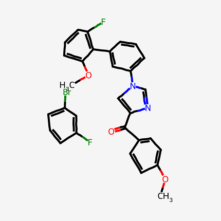 COc1ccc(C(=O)c2cn(-c3cccc(-c4c(F)cccc4OC)c3)cn2)cc1.Fc1cccc(Br)c1